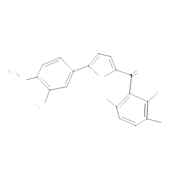 CC(C)Oc1ccc(-c2ccc(C(=O)c3c(F)ccc(O)c3F)s2)cc1C#N